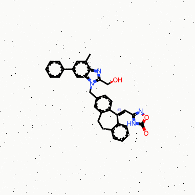 Cc1cc(-c2ccccc2)cc2c1nc(CO)n2Cc1ccc2c(c1)CCc1ccccc1/C2=C\c1noc(=O)[nH]1